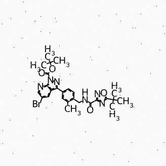 Cc1cc(-c2nn(C(=O)OC(C)(C)C)c3ncc(Br)cc23)ccc1CNC(=O)c1noc(C(C)(C)C)n1